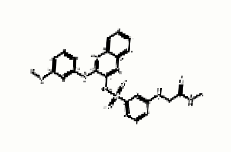 CNC(=O)CNc1cccc(S(=O)(=O)Nc2nc3ccccc3nc2Nc2cccc(OC)c2)c1